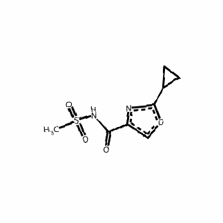 CS(=O)(=O)NC(=O)c1coc(C2CC2)n1